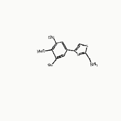 COc1c(C(C)(C)C)cc(-c2csc(CN)n2)cc1C(C)(C)C